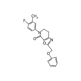 Cc1cc(N2CCc3nc(COc4ccccc4)oc3C2=O)ccc1F